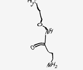 CCONC(=O)CN